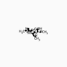 COCC(NC(=O)c1cnc(C)s1)C(=O)N[C@@H](COC)C(=O)O